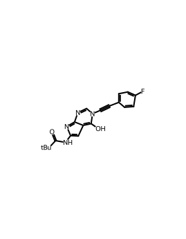 CC(C)(C)C(=O)Nc1cc2c(O)n(C#Cc3ccc(F)cc3)cnc-2n1